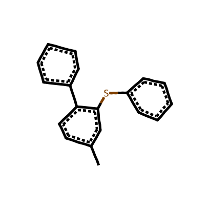 Cc1ccc(-c2ccccc2)c(Sc2ccccc2)c1